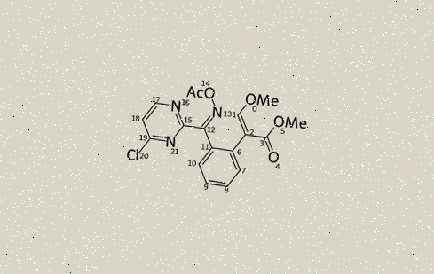 COC=C(C(=O)OC)c1ccccc1C(=NOC(C)=O)c1nccc(Cl)n1